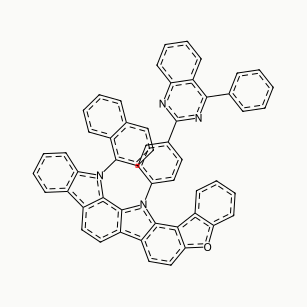 c1ccc(-c2nc(-c3ccc(-n4c5c(ccc6oc7ccccc7c65)c5ccc6c7ccccc7n(-c7cccc8ccccc78)c6c54)cc3)nc3ccccc23)cc1